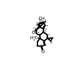 CC12CCC(=O)C=C1C1(CC1)CC1C3=CC[C@@]4(C)CCC(=O)[C@@]34CCC12